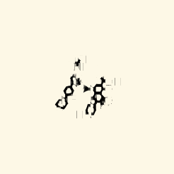 CC(=O)NC[C@H]1CN(c2ccc(N3CCOCC3)c(F)c2)C(=O)O1.Cl.O.O=C(O)c1cn(C2CC2)c2cc(N3CCNCC3)c(F)cc2c1=O